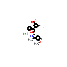 COc1cc([C@@H](C)NC[C@H]2C[C@@H](c3cc(C)cc(C(=O)O)c3)c3ccccc3O2)ccc1F.Cl